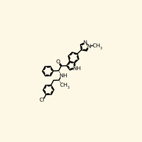 C[C@H](Cc1ccc(Cl)cc1)N[C@@H](C(=O)c1c[nH]c2cc(-c3cnn(C)c3)ccc12)c1ccccc1